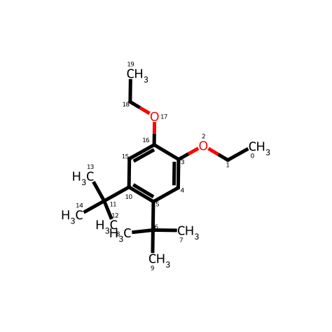 CCOc1cc(C(C)(C)C)c(C(C)(C)C)cc1OCC